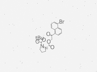 CC(C)(C)OC(=O)N1CCC[C@H]1C(=O)OCC(=O)c1cccc2c(Br)cccc12